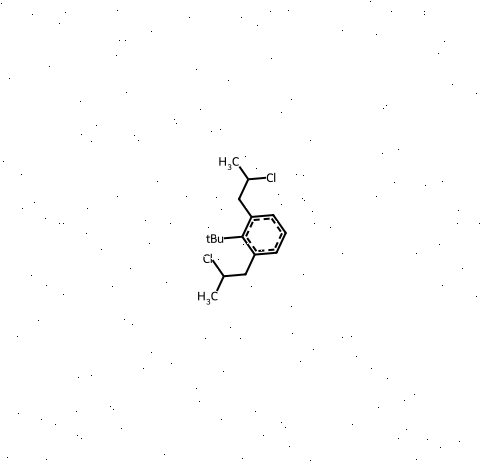 CC(Cl)Cc1cccc(CC(C)Cl)c1C(C)(C)C